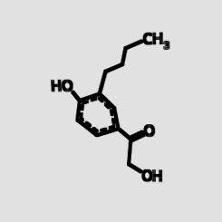 CCCCc1cc(C(=O)CO)ccc1O